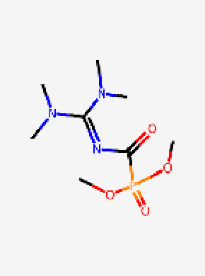 COP(=O)(OC)C(=O)N=C(N(C)C)N(C)C